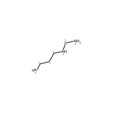 CCCCC[CH2][AlH][O][AlH2]